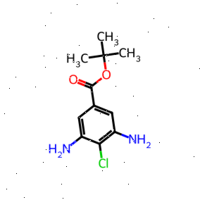 CC(C)(C)OC(=O)c1cc(N)c(Cl)c(N)c1